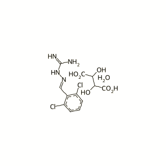 N=C(N)NN=Cc1c(Cl)cccc1Cl.O.O=C(O)C(O)C(O)C(=O)O